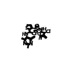 Cc1nc(C)c(NC(=O)c2sccc2S(=O)(=O)Nc2onc(C)c2Cl)c(C)n1